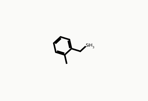 Cc1ccccc1C[SiH3]